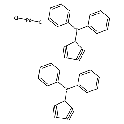 C1#CC(P(c2ccccc2)c2ccccc2)C#C1.C1#CC(P(c2ccccc2)c2ccccc2)C#C1.[Cl][Pd][Cl]